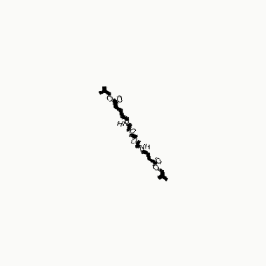 CC(C)COC(=O)CCCCNCCOCCOCCNCCCC(=O)OCC(C)C